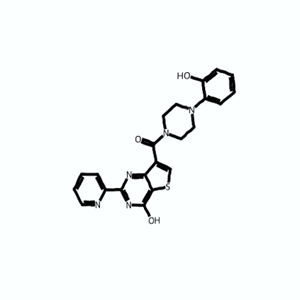 O=C(c1csc2c(O)nc(-c3ccccn3)nc12)N1CCN(c2ccccc2O)CC1